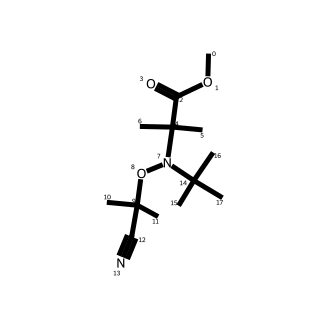 COC(=O)C(C)(C)N(OC(C)(C)C#N)C(C)(C)C